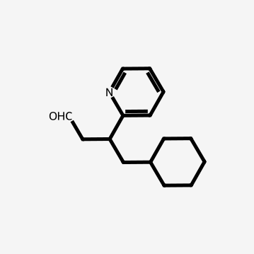 O=CCC(CC1CCCCC1)c1ccccn1